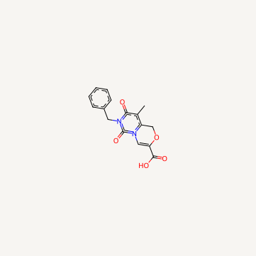 Cc1c2n(c(=O)n(Cc3ccccc3)c1=O)C=C(C(=O)O)OC2